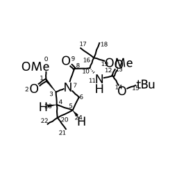 COC(=O)[C@@H]1[C@@H]2[C@H](CN1C(=O)[C@@H](NC(=O)OC(C)(C)C)C(C)(C)OC)C2(C)C